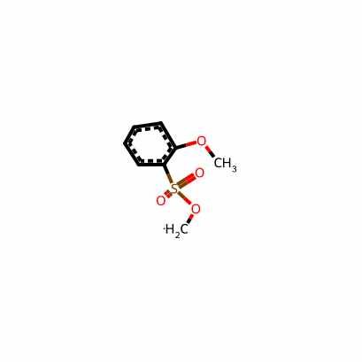 [CH2]OS(=O)(=O)c1ccccc1OC